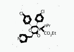 CCCC(C(=O)OCC)N1C(=O)[C@@H](Cc2ccncc2)O[C@H](c2ccc(Cl)cc2)[C@@H]1c1ccc(Cl)cc1